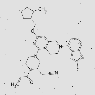 C=CC(=O)N1CCN(c2nc(OC[C@@H]3CCCN3C)cc3c2CCN(c2cccc4sc(Cl)cc24)C3)C[C@@H]1CC#N